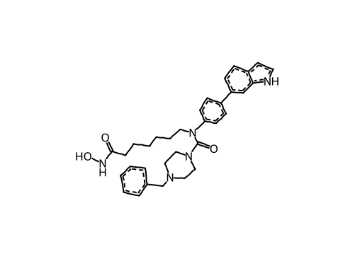 O=C(CCCCCCN(C(=O)N1CCN(Cc2ccccc2)CC1)c1ccc(-c2ccc3cc[nH]c3c2)cc1)NO